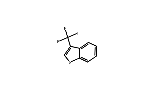 FC(F)(I)c1csc2ccccc12